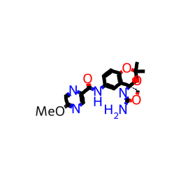 COc1cnc(C(=O)Nc2ccc3c(c2)[C@@]2(COC(N)=N2)C2(COC2)C(C)(C)O3)cn1